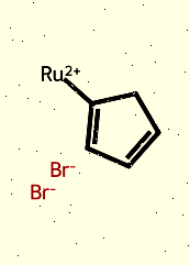 [Br-].[Br-].[Ru+2][C]1=CC=CC1